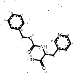 O=C(NC(Cc1cccnc1)C(=O)O)OCc1ccccc1